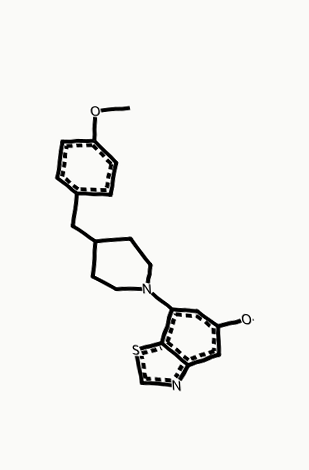 COc1ccc(CC2CCN(c3cc([O])cc4ncsc34)CC2)cc1